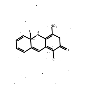 O=C1CC([N+](=O)[O-])=C2N[C@H]3C=CC=CC3=CC2=C1Cl